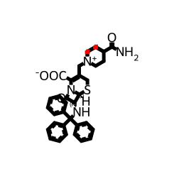 NC(=O)C12CC[N+](CC3=C(C(=O)[O-])N4C(=O)[C@@H](NC(c5ccccc5)(c5ccccc5)c5ccccc5)[C@@H]4SC3)(CC1)CC2